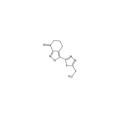 CSc1nnc(-c2onc3c2CCCC3=O)s1